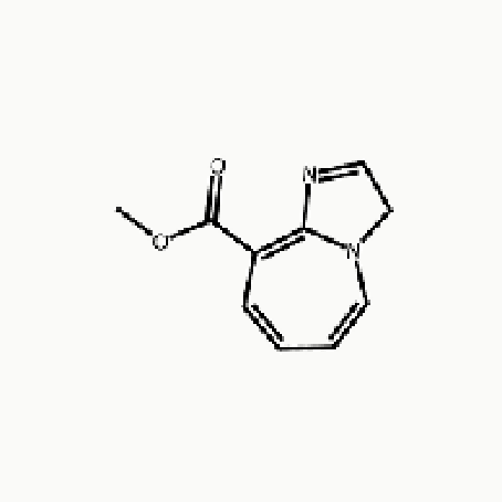 COC(=O)C1=C2N=CCN2C=CC=C1